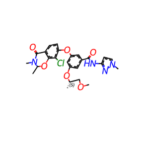 COC[C@H](C)Oc1cc(Oc2ccc3c(c2Cl)OC(C)N(C)C3=O)cc(C(=O)Nc2ccn(C)n2)c1